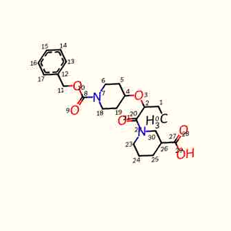 CCC(OC1CCN(C(=O)OCc2ccccc2)CC1)C(=O)N1CCCC(C(=O)O)C1